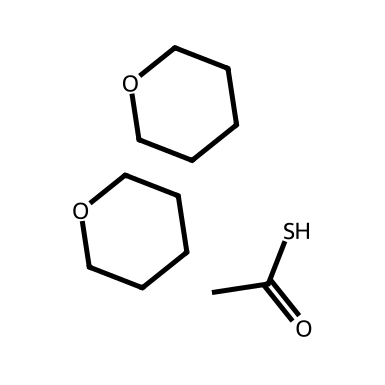 C1CCOCC1.C1CCOCC1.CC(=O)S